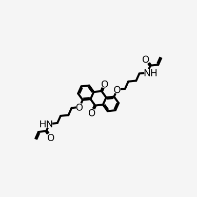 C=CC(=O)NCCCCOc1cccc2c1C(=O)c1cccc(OCCCCNC(=O)C=C)c1C2=O